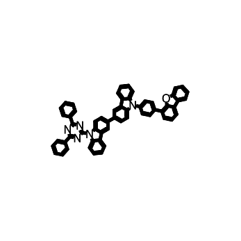 c1ccc(-c2nc(-c3ccccc3)nc(-n3c4ccccc4c4cc(-c5ccc6c(c5)c5ccccc5n6-c5ccc(-c6cccc7c6oc6ccccc67)cc5)ccc43)n2)cc1